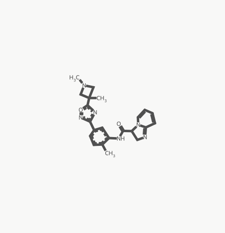 Cc1ccc(-c2noc(C3(C)CN(C)C3)n2)cc1NC(=O)C1CN=C2C=CC=CN21